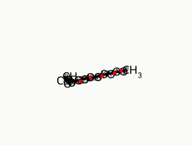 COCCOCCOCCOCCOCCOCCOCCOCCOC(=O)OC(C)Cl